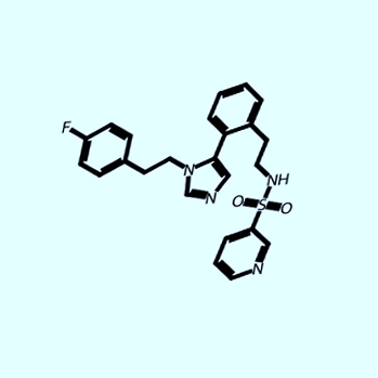 O=S(=O)(NCCc1ccccc1-c1cncn1CCc1ccc(F)cc1)c1cccnc1